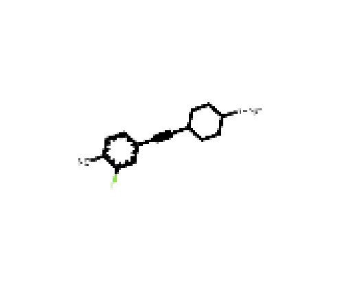 CCCCCCCC1CCC(C#Cc2ccc(C#N)c(F)c2)CC1